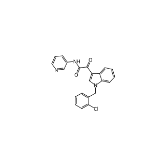 O=C(Nc1cccnc1)C(=O)c1cn(Cc2ccccc2Cl)c2ccccc12